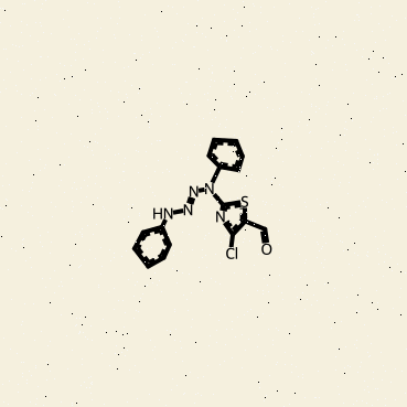 O=Cc1sc(N(N=NNc2ccccc2)c2ccccc2)nc1Cl